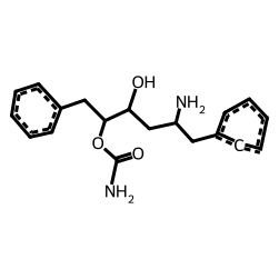 NC(=O)OC(Cc1ccccc1)C(O)CC(N)Cc1ccccc1